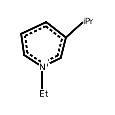 CC[n+]1cccc(C(C)C)c1